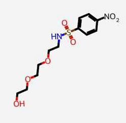 O=[N+]([O-])c1ccc(S(=O)(=O)NCCOCCOCCO)cc1